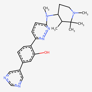 CC1C(N(C)c2ccc(-c3ccc(-c4cncnc4)cc3O)nn2)CCN(C)C1(C)C